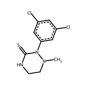 CN1CCNC(=S)N1c1cc(Cl)cc(Cl)c1